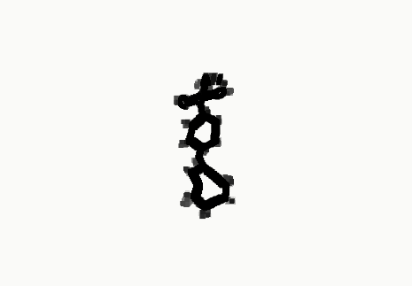 NS(=O)(=O)c1ccc(-c2[c]cccc2)cc1